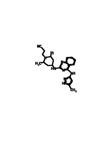 CCC1CC(Nc2nc(Nc3cc(C)[nH]n3)c3ccccc3n2)CC(C)N1CCC#N